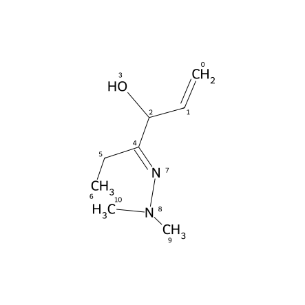 C=CC(O)C(CC)=NN(C)C